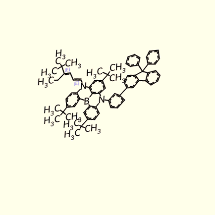 CC/C(=C\C=C\N1c2ccc(C(C)(C)C)cc2B2c3cc(C(C)(C)C)ccc3N(c3cccc(-c4ccc5c(c4)-c4ccccc4C5(c4ccccc4)c4ccccc4)c3)c3cc(C(C)(C)C)cc1c32)C(C)(C)C